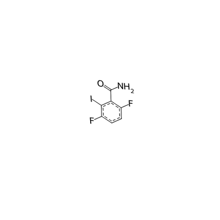 NC(=O)c1c(F)ccc(F)c1I